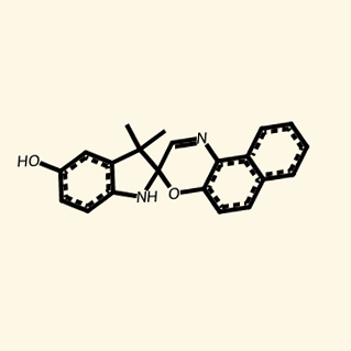 CC1(C)c2cc(O)ccc2NC12C=Nc1c(ccc3ccccc13)O2